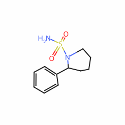 NS(=O)(=O)N1CCCCC1c1ccccc1